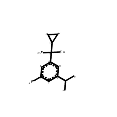 CC(C)c1cc(F)cc(C(F)(F)C2CC2)c1